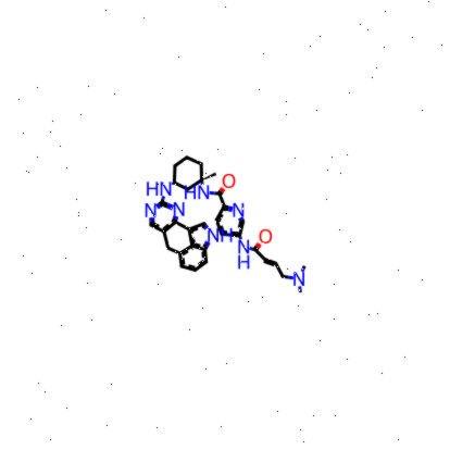 CN(C)C/C=C/C(=O)Nc1ccc(C(=O)N[C@@]2(C)CCC[C@@H](Nc3ncc4c(n3)-c3c[nH]c5cccc(c35)C4)C2)nc1